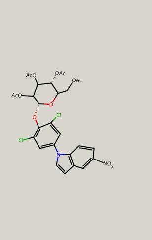 CC(=O)OCC1O[C@H](Oc2c(Cl)cc(-n3ccc4cc([N+](=O)[O-])ccc43)cc2Cl)C(OC(C)=O)C(OC(C)=O)[C@@H]1OC(C)=O